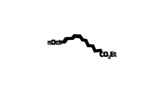 CCCCCCCCC=CC/C=C\CCCCCCC(=O)OCC